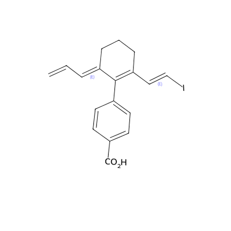 C=C/C=C1\CCCC(/C=C/I)=C1c1ccc(C(=O)O)cc1